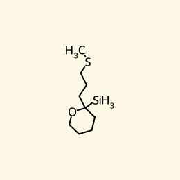 CSCCCC1([SiH3])CCCCO1